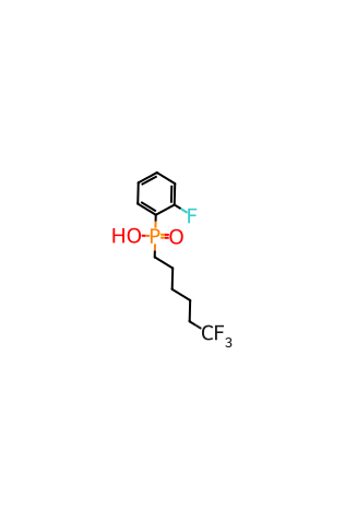 O=P(O)(CCCCCC(F)(F)F)c1ccccc1F